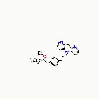 CCOC(Cc1ccc(CCCN2c3cccnc3Cc3ncccc32)cc1)C(=O)O